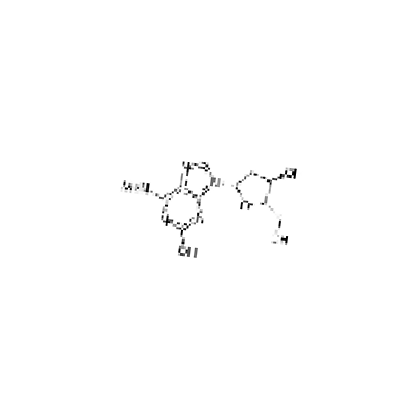 CNc1nc(O)nc2c1ncn2[C@@H]1C[C@@H](O)[C@H](CO)O1